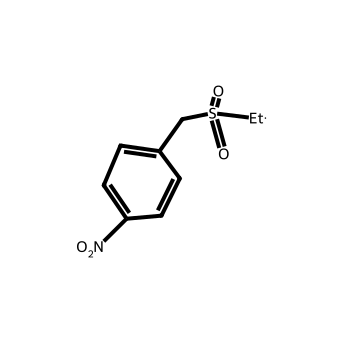 C[CH]S(=O)(=O)Cc1ccc([N+](=O)[O-])cc1